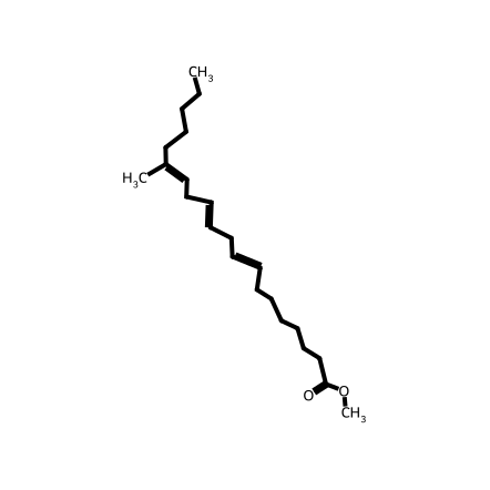 CCCCCC(C)=CCC=CCC=CCCCCCCC(=O)OC